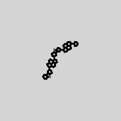 c1ccc(-c2ccc3ccc4c(-c5ccc6sc7ccc(-c8ccc9ccc%10c(-c%11ccc%12sc%13ccccc%13c%12c%11)ccc%11ccc8c9c%11%10)cc7c6c5)ccc5ccc2c3c54)cc1